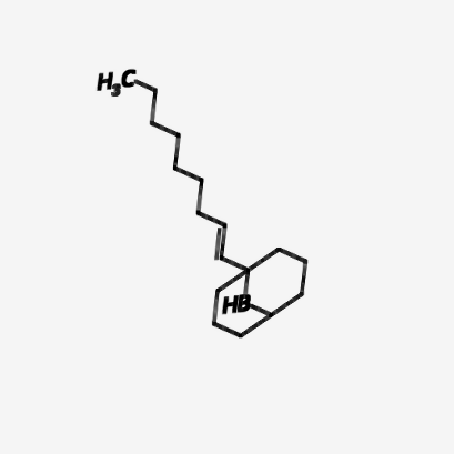 CCCCCCCC=CC12BC(CCC1)CCC2